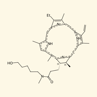 C=Cc1c(C)c2cc3nc(c(C)c4cc(C)c(cc5nc(cc1[nH]2)C(C)=C5CC)[nH]4)[C@@H](CCC(=O)N(C)CCCCCO)[C@@H]3C